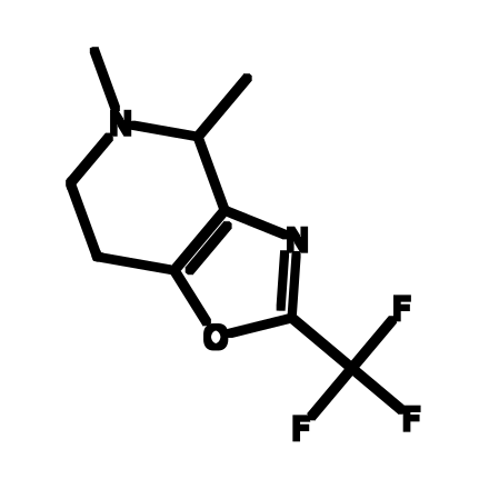 CC1c2nc(C(F)(F)F)oc2CCN1C